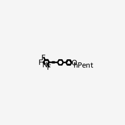 CCCCCOc1ccc(C2CCC(C#Cc3cc(F)c(F)nc3F)CC2)cc1